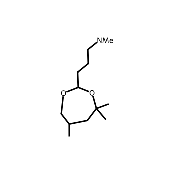 CNCCCC1OCC(C)CC(C)(C)O1